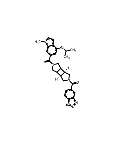 CC(C)Oc1cc(C(=O)N2CC3C(C2)[C@@H]2CN(C(=O)c4ccc5[nH]nnc5c4)C[C@H]32)cc2c1ccn2C